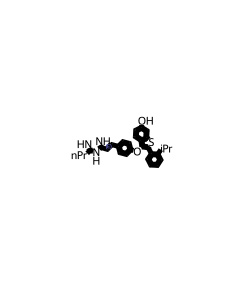 CCCC(=N)NC(=N)/C=C/c1ccc(Oc2c(-c3ccccc3C(C)C)sc3cc(O)ccc23)cc1